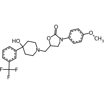 COc1ccc(N2CC(CN3CCC(O)(c4cccc(C(F)(F)F)c4)CC3)OC2=O)cc1